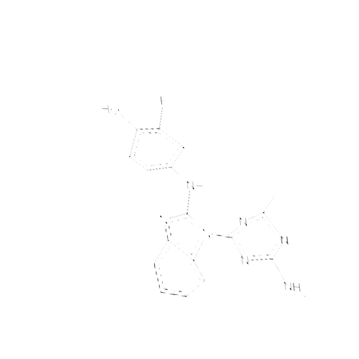 Cc1nc(N)nc(-n2c(Nc3ccc(O)c(F)c3)nc3ccccc32)n1